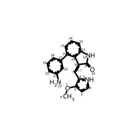 COc1cc[nH]c1/C=C1\C(=O)Nc2cccc(-c3cccc(N)c3)c21